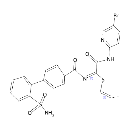 C/C=C\S/C(=N/C(=O)c1ccc(-c2ccccc2S(N)(=O)=O)cc1)C(=O)Nc1ccc(Br)cn1